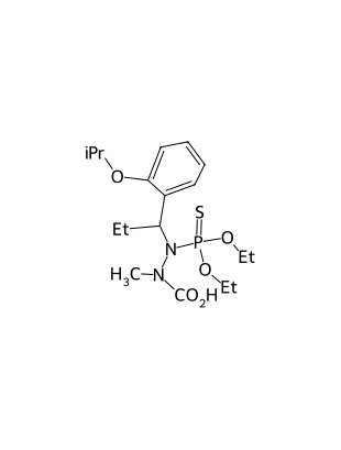 CCOP(=S)(OCC)N(C(CC)c1ccccc1OC(C)C)N(C)C(=O)O